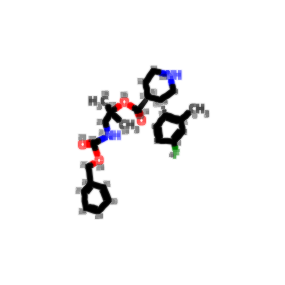 Cc1cc(F)ccc1[C@H]1CNCC[C@@H]1C(=O)OC(C)(C)CNC(=O)OCc1ccccc1